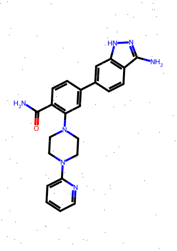 NC(=O)c1ccc(-c2ccc3c(N)n[nH]c3c2)cc1N1CCN(c2ccccn2)CC1